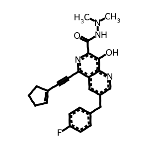 CN(C)NC(=O)c1nc(C#CC2=CCCC2)c2cc(Cc3ccc(F)cc3)cnc2c1O